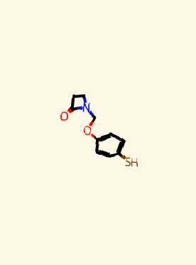 O=C1CCN1COc1ccc(S)cc1